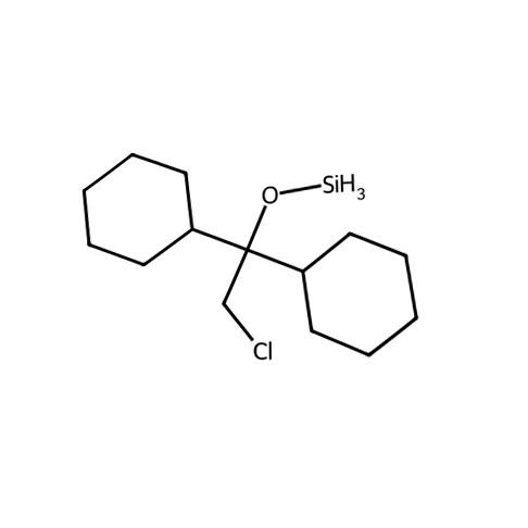 [SiH3]OC(CCl)(C1CCCCC1)C1CCCCC1